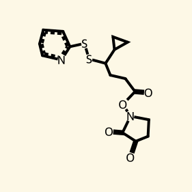 O=C(CCC(SSc1ccccn1)C1CC1)ON1CCC(=O)C1=O